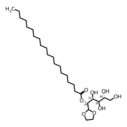 CCCCCCCCCCCCCCCCCCCC(=O)O[C@@H](C1OCCO1)[C@@H](O)[C@H](O)[C@H](O)CO